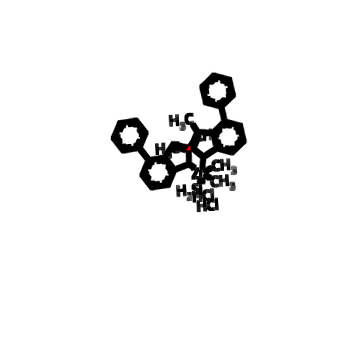 CC1=Cc2c(-c3ccccc3)cccc2[CH]1[Zr]([CH3])([CH3])(=[SiH2])[CH]1C(C)=C(C)c2c(-c3ccccc3)cccc21.Cl.Cl